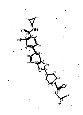 CC(C)OC(=O)N1CCC(c2nc3cc(-c4ccc(C(=O)NC5CC5)c(F)c4)ccc3o2)CC1